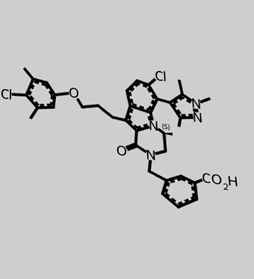 Cc1cc(OCCCc2c3n(c4c(-c5c(C)nn(C)c5C)c(Cl)ccc24)[C@@H](C)CN(Cc2cccc(C(=O)O)c2)C3=O)cc(C)c1Cl